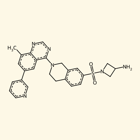 Cc1cc(-c2cccnc2)cc2c(N3CCc4ccc(S(=O)(=O)N5CC(N)C5)cc4C3)ncnc12